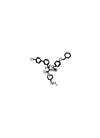 NC1CCN(C(=O)C(NS(=O)(=O)c2ccc(OCC3CCCCC3)cc2)C(F)(F)c2cccc(-c3ccc(Cl)cc3)c2)CC1